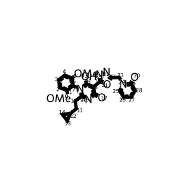 COc1cccc(OC)c1-n1c(CCC2CC2)nc(=O)c(-c2nnc(Cn3ccccc3=O)o2)c1O